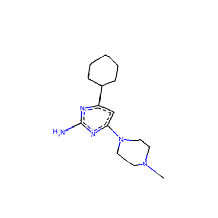 CN1CCN(c2cc(C3CCCCC3)nc(N)n2)CC1